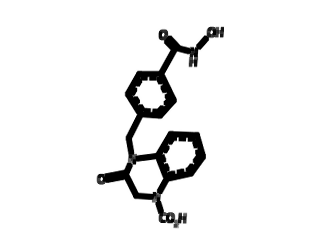 O=C(NO)c1ccc(CN2C(=O)CN(C(=O)O)c3ccccc32)cc1